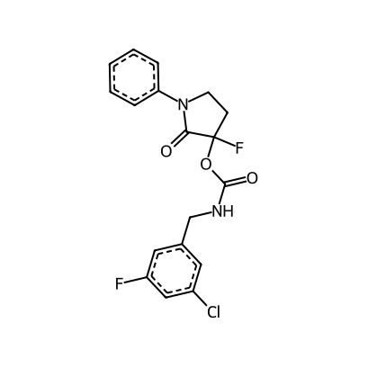 O=C(NCc1cc(F)cc(Cl)c1)OC1(F)CCN(c2ccccc2)C1=O